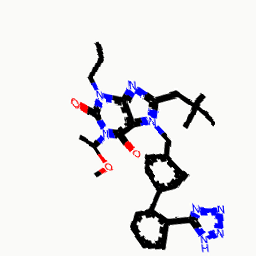 CCCn1c(=O)n(C(C)OC)c(=O)c2c1nc(CC(C)(C)C)n2Cc1ccc(-c2ccccc2-c2nnn[nH]2)cc1